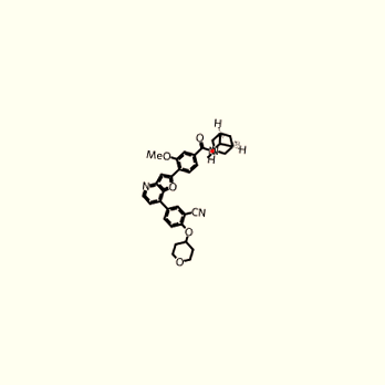 COc1cc(C(=O)NC2[C@@H]3C[C@H]2CN(C)C3)ccc1-c1cc2nccc(-c3ccc(OC4CCOCC4)c(C#N)c3)c2o1